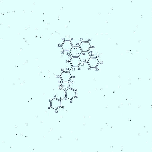 c1ccc(-c2cccc3c2oc2ccc(-c4cc5c6ccccc6c6cccc7c8ccccc8c(c4)c5c67)cc23)cc1